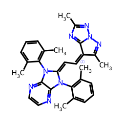 Cc1nc2/c(=C\C=C3N(c4c(C)cccc4C)c4nccnc4N3c3c(C)cccc3C)c(C)nn2n1